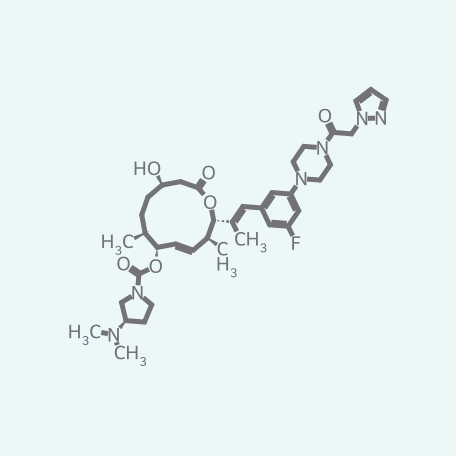 C/C(=C\c1cc(F)cc(N2CCN(C(=O)Cn3cccn3)CC2)c1)[C@H]1OC(=O)C[C@H](O)CC[C@H](C)[C@@H](OC(=O)N2CC[C@@H](N(C)C)C2)/C=C/[C@@H]1C